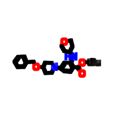 CC(C)(C)OC(=O)c1ccc(N2CCC(OCc3ccccc3)CC2)cc1NC1CCOCC1